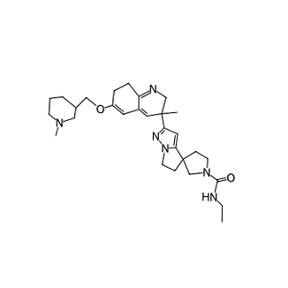 CCNC(=O)N1CCC2(CCn3nc(C4(C)C=C5C=C(OCC6CCCN(C)C6)CCC5=NC4)cc32)C1